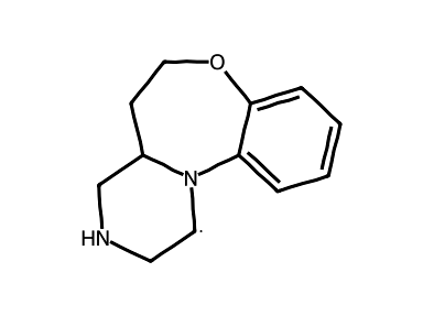 [CH]1CNCC2CCOc3ccccc3N12